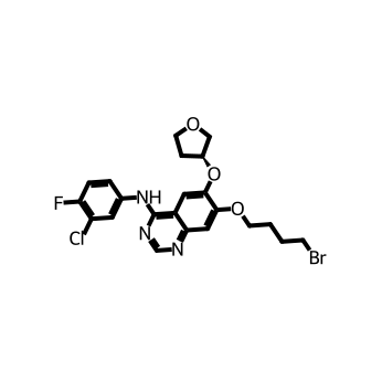 Fc1ccc(Nc2ncnc3cc(OCCCCBr)c(O[C@H]4CCOC4)cc23)cc1Cl